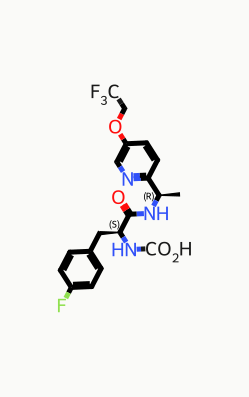 C[C@@H](NC(=O)[C@H](Cc1ccc(F)cc1)NC(=O)O)c1ccc(OCC(F)(F)F)cn1